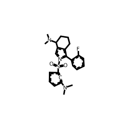 CN(C)c1cccc(S(=O)(=O)n2cc3c(c2-c2ccccc2F)CCCC3N(C)C)c1